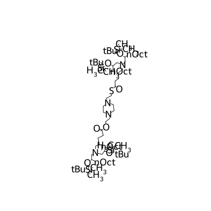 CCCCCCCCC(CN(CCCCC(=O)OCCN1CCN(CCSC(=O)CCCCN(CC(CCCCCCCC)O[Si](C)(C)C(C)(C)C)CC(CCCCCCCC)O[Si](C)(C)C(C)(C)C)CC1)CC(CCCCCCCC)O[Si](C)(C)C(C)(C)C)O[Si](C)(C)C(C)(C)C